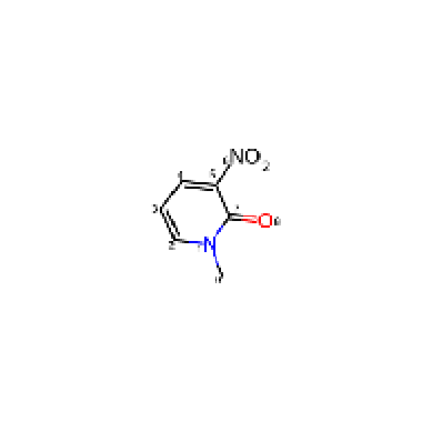 Cn1cccc([N+](=O)[O-])c1=O